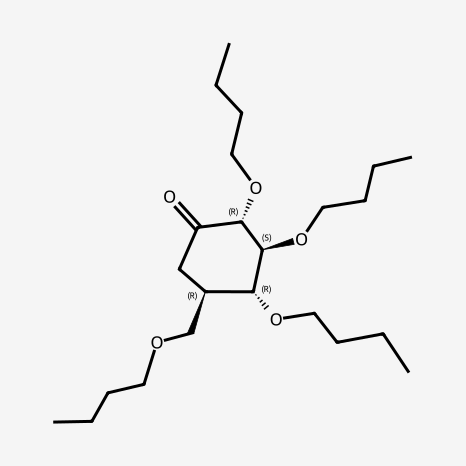 CCCCOC[C@H]1CC(=O)[C@H](OCCCC)[C@@H](OCCCC)[C@@H]1OCCCC